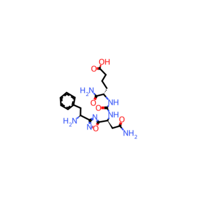 NC(=O)C[C@H](NC(=O)N[C@@H](CCCC(=O)O)C(N)=O)c1nc([C@@H](N)Cc2ccccc2)no1